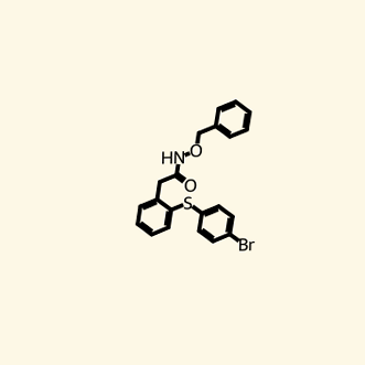 O=C(Cc1ccccc1Sc1ccc(Br)cc1)NOCc1ccccc1